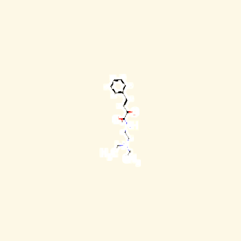 CCN(CC)CCNC(=O)C(=O)/C=C/c1ccccc1